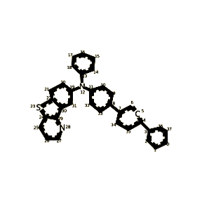 c1ccc(-c2ccc(-c3ccc(N(c4ccccc4)c4ccc5sc6cccnc6c5c4)cc3)cc2)cc1